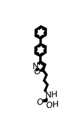 O=C(O)NCCCCc1cc(-c2ccc(-c3ccccc3)cc2)no1